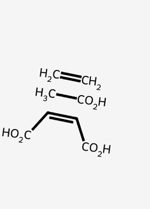 C=C.CC(=O)O.O=C(O)/C=C\C(=O)O